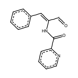 O=[C]C(=Cc1ccccc1)NC(=O)c1ccccn1